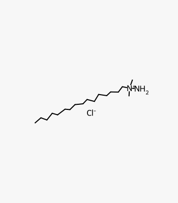 CCCCCCCCCCCCCCCC[N+](C)(C)N.[Cl-]